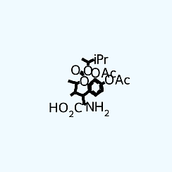 CC(=O)Oc1ccc(C(C(C)C(C)OC(=O)OC(C)C(C)C)[C@H](N)C(=O)O)cc1OC(C)=O